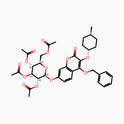 CC(=O)OC[C@H]1O[C@@H](Oc2ccc3c(OCc4ccccc4)c(O[C@H]4CC[C@H](C)CC4)c(=O)oc3c2)[C@H](OC(C)=O)[C@@H](OC(C)=O)[C@@H]1OC(C)=O